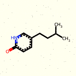 CC(C)CCc1ccc(=O)[nH]c1